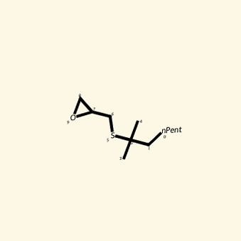 CCCCCCC(C)(C)SCC1CO1